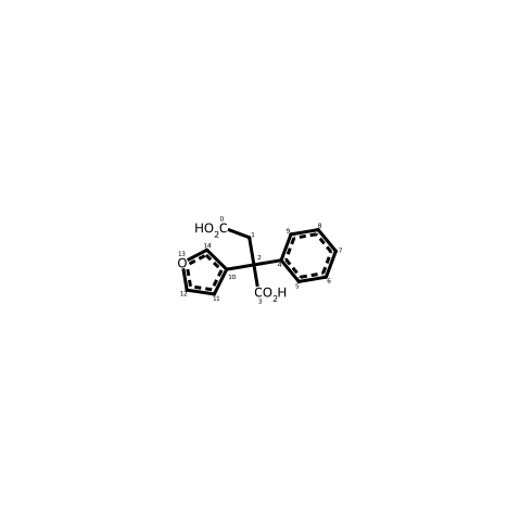 O=C(O)CC(C(=O)O)(c1ccccc1)c1ccoc1